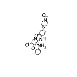 COc1cc(N2CCN(C(C)=O)CC2)ccc1Nc1ncc(Cl)c(Oc2ccccc2N)n1